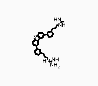 CC(=N)NCCCc1cccc(-c2ccc3sc4ccc(-c5cccc(CCCNC(=N)N)c5)cc4c3c2)c1